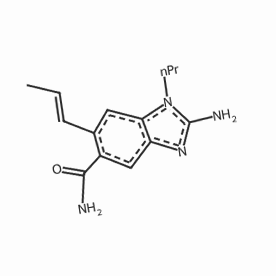 CC=Cc1cc2c(cc1C(N)=O)nc(N)n2CCC